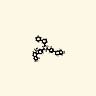 C[Si]1(C)c2cc(-c3nc(-c4ccc(-c5ccc6ccccc6c5)cc4)nc(-c4cccc(-c5ccccc5)c4)n3)ccc2-c2c1ccc1ccccc21